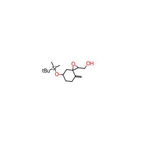 C=C1CCC(O[Si](C)(C)C(C)(C)C)CC12OC2CO